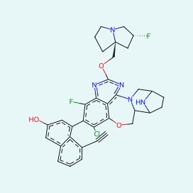 C#Cc1cccc2cc(O)cc(-c3c(Cl)c4c5c(nc(OC[C@@]67CCCN6C[C@H](F)C7)nc5c3F)N3CC5CCC(N5)C3CO4)c12